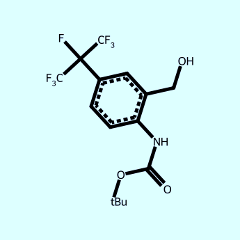 CC(C)(C)OC(=O)Nc1ccc(C(F)(C(F)(F)F)C(F)(F)F)cc1CO